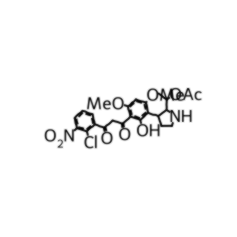 COc1cc(OC)c(C2CCNC2C(C)OC(C)=O)c(O)c1C(=O)CC(=O)c1cccc([N+](=O)[O-])c1Cl